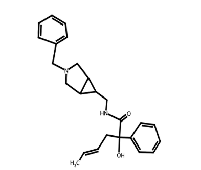 CC=CCC(O)(C(=O)NCC1C2CN(Cc3ccccc3)CC12)c1ccccc1